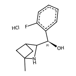 CC12CC(C1)C([C@H](O)c1ccccc1F)N2.Cl